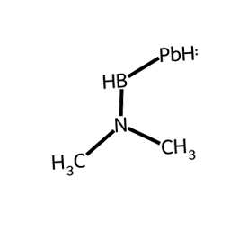 CN(C)[BH][PbH]